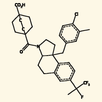 Cc1cc(CC23CCN(C(=O)C45CCC(C(=O)O)(CC4)CC5)C2CCc2cc(C(C)(F)C(F)(F)F)ccc23)ccc1Cl